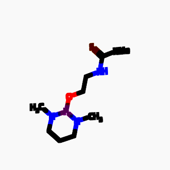 CNC(=S)NCCOP1N(C)CCCN1C